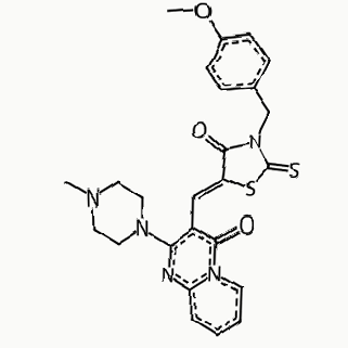 COc1ccc(CN2C(=O)/C(=C/c3c(N4CCN(C)CC4)nc4ccccn4c3=O)SC2=S)cc1